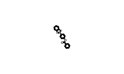 O=C(Oc1ccc(-n2nc3ccccc3n2)cc1)c1ccccc1